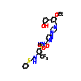 CCOc1cc(CN2CCN(c3ccc(C(=O)NS(=O)(=O)c4ccc(NCCSc5ccccc5)c(C(F)(F)F)c4)nn3)CC2)cc(-c2cccc(O)c2)c1